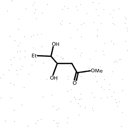 CCC(O)C(O)CC(=O)OC